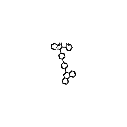 c1ccc(-c2nc3ccccn3c2-c2ccc(-c3ccc(-c4cc5ccccc5c5ccccc45)cc3)cc2)nc1